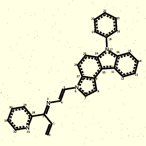 C=C/C(=N\C=C\n1ccc2c3c4ccccc4n(-c4ccccc4)c3ccc21)c1ccccn1